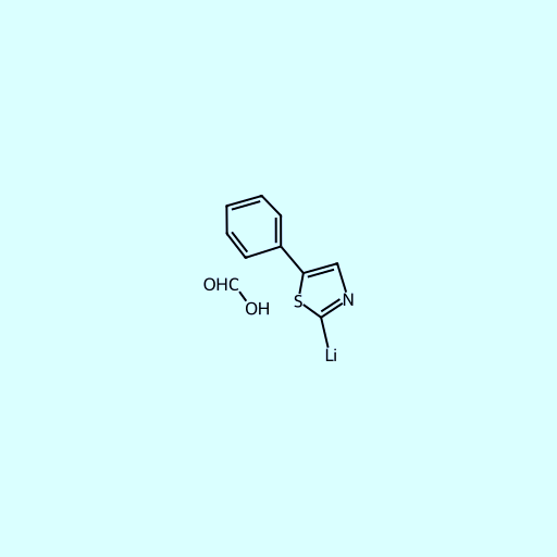 O=CO.[Li][c]1ncc(-c2ccccc2)s1